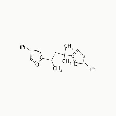 CC(C)c1coc(C(C)CC(C)(C)c2ccc(C(C)C)o2)c1